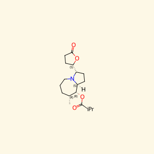 CC(C)C(=O)O[C@@H]1[C@H](C)CCCN2C([C@@H]3CCC(=O)O3)CC[C@@H]12